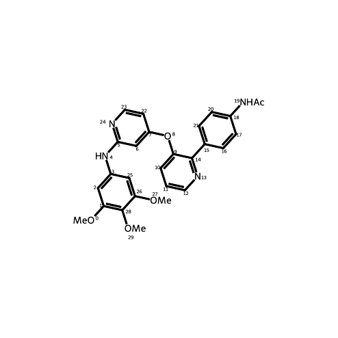 COc1cc(Nc2cc(Oc3cccnc3-c3ccc(NC(C)=O)cc3)ccn2)cc(OC)c1OC